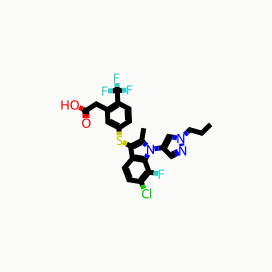 CCCn1cc(-n2c(C)c(Sc3ccc(C(F)(F)F)c(CC(=O)O)c3)c3ccc(Cl)c(F)c32)cn1